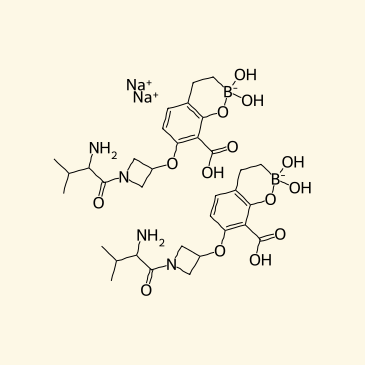 CC(C)C(N)C(=O)N1CC(Oc2ccc3c(c2C(=O)O)O[B-](O)(O)CC3)C1.CC(C)C(N)C(=O)N1CC(Oc2ccc3c(c2C(=O)O)O[B-](O)(O)CC3)C1.[Na+].[Na+]